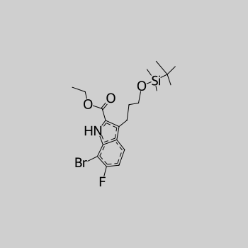 CCOC(=O)c1[nH]c2c(Br)c(F)ccc2c1CCCO[Si](C)(C)C(C)(C)C